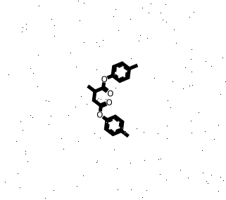 Cc1ccc(OC(=O)CC(C)C(=O)Oc2ccc(C)cc2)cc1